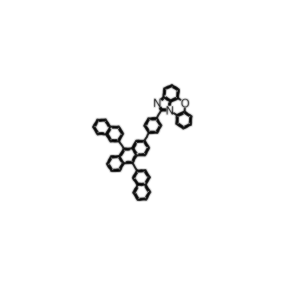 c1ccc2c(c1)Oc1cccc3nc(-c4ccc(-c5ccc6c(-c7ccc8ccccc8c7)c7ccccc7c(-c7ccc8ccccc8c7)c6c5)cc4)n-2c13